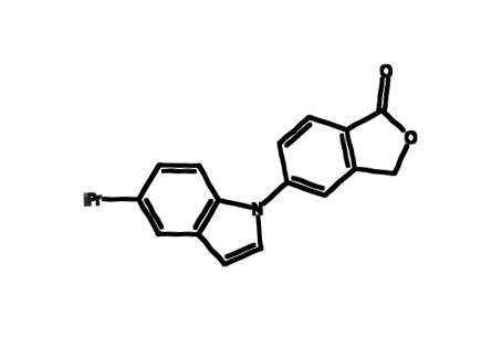 CC(C)c1ccc2c(ccn2-c2ccc3c(c2)COC3=O)c1